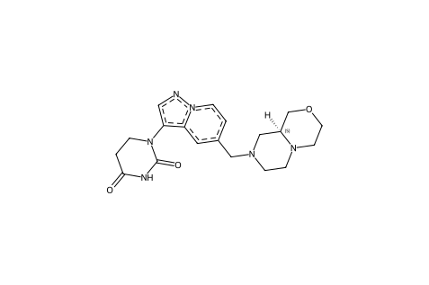 O=C1CCN(c2cnn3ccc(CN4CCN5CCOC[C@@H]5C4)cc23)C(=O)N1